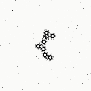 c1ccc(-c2nc(-c3ccc(-n4c5ccccc5c5cc(-c6ccc7sc8ccccc8c7c6)ccc54)cc3)nc3ccccc23)cc1